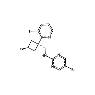 Fc1cccnc1[C@]1(CNc2ncc(Br)cn2)C[C@H](F)C1